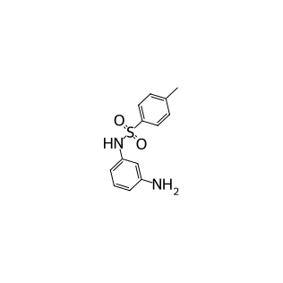 Cc1ccc(S(=O)(=O)Nc2cccc(N)c2)cc1